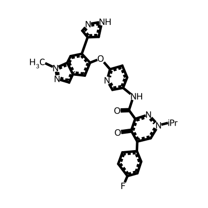 CC(C)n1cc(-c2ccc(F)cc2)c(=O)c(C(=O)Nc2ccc(Oc3cc4cnn(C)c4cc3-c3cn[nH]c3)nc2)n1